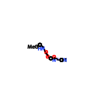 COc1cccc(CNCCOCCOc2ccc3nc(/C=C/c4ccc(N(C)C)cc4)oc3c2)c1